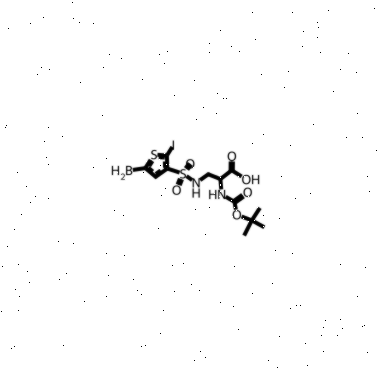 Bc1cc(S(=O)(=O)NCC(NC(=O)OC(C)(C)C)C(=O)O)c(I)s1